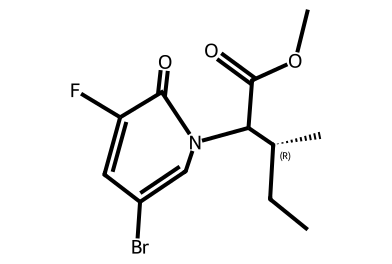 CC[C@@H](C)C(C(=O)OC)n1cc(Br)cc(F)c1=O